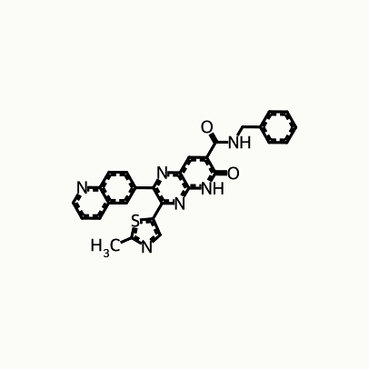 Cc1ncc(-c2nc3[nH]c(=O)c(C(=O)NCc4ccccc4)cc3nc2-c2ccc3ncccc3c2)s1